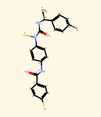 C[C@H](NC(=O)N(S)c1ccc(NC(=O)c2ccc(F)cc2)cc1)c1ccc(Br)cc1